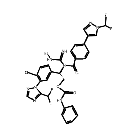 CCNC(=N)N(C(=O)c1ccc(-c2cnn(C(F)F)c2)cc1)[C@H](COC(=O)Nc1ccccc1)c1ccc(Cl)c(-n2ncnc2C(F)F)c1